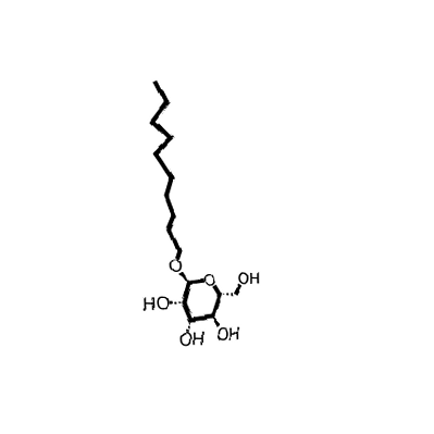 CCCCCCCCCCO[C@H]1O[C@H](CO)[C@@H](O)[C@H](O)[C@@H]1O